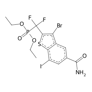 CCOP(=O)(OCC)C(F)(F)c1sc2c(I)cc(C(N)=O)cc2c1Br